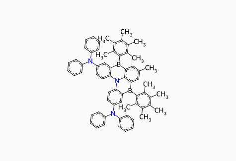 Cc1cc2c3c(c1)B(c1c(C)c(C)c(C)c(C)c1C)c1cc(N(c4ccccc4)c4ccccc4)ccc1N3c1ccc(N(c3ccccc3)c3ccccc3)cc1B2c1c(C)c(C)c(C)c(C)c1C